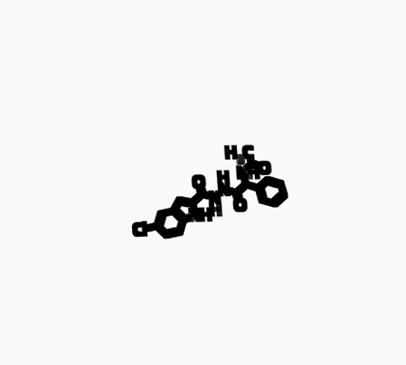 CC(=O)NC(C(=O)NNC(=O)c1cc2cc(Cl)ccc2[nH]1)c1ccccc1